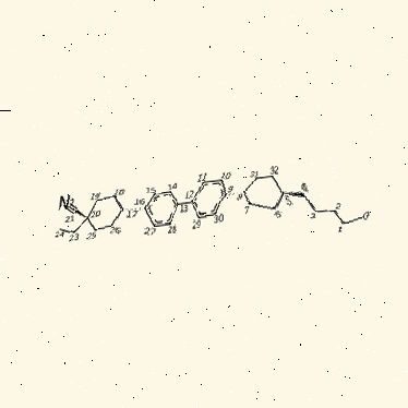 CCCCC[C@H]1CC[C@H](c2ccc(-c3ccc([C@H]4CC[C@@](C#N)(CC)CC4)cc3)cc2)CC1